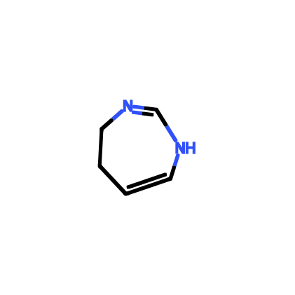 C1=CNC=NCC1